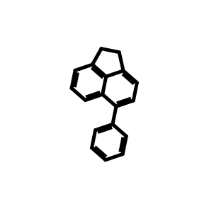 c1ccc(-c2ccc3c4c(cccc24)CC3)cc1